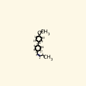 CC/C=C\c1ccc(-c2ccc(OC)cc2)cc1